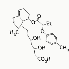 CCC(Oc1ccc(C)cc1)C(=O)OC1CCC=C2C=CC(C)C(CCC(O)CC(O)CC(=O)O)C21